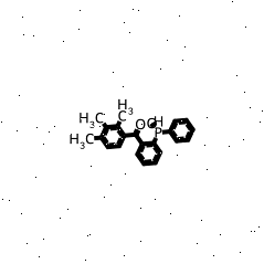 Cc1ccc(C(=O)c2ccccc2[PH](=O)c2ccccc2)c(C)c1C